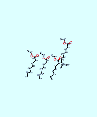 CCCCCC.CCCCCCCC(=O)OCC.CCCCCCCC(=O)OCC.CCCCCCCC(=O)OCC.CCCCCCCC(=O)OCC